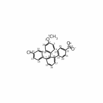 COc1ccc(-c2c(-c3ccc(Cl)cc3)[c]ccc2-c2ccc([N+](=O)[O-])cc2)cc1